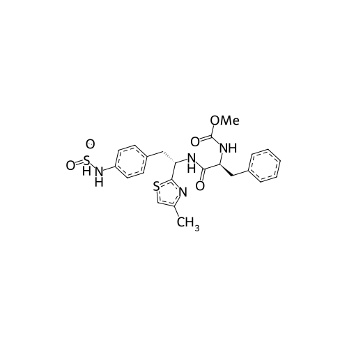 COC(=O)N[C@@H](Cc1ccccc1)C(=O)N[C@@H](Cc1ccc(N[SH](=O)=O)cc1)c1nc(C)cs1